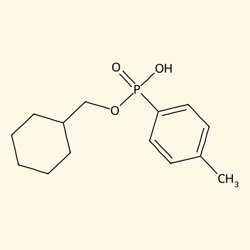 Cc1ccc(P(=O)(O)OCC2CCCCC2)cc1